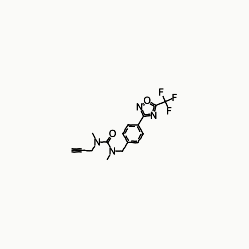 C#CCN(C)C(=O)N(C)Cc1ccc(-c2noc(C(F)(F)F)n2)cc1